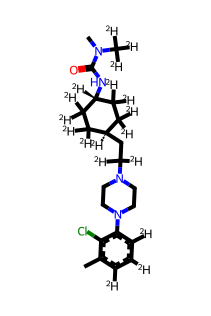 [2H]c1c([2H])c(C)c(Cl)c(N2CCN(C([2H])([2H])C[C@]3([2H])C([2H])([2H])C([2H])([2H])[C@@]([2H])(NC(=O)N(C)C([2H])([2H])[2H])C([2H])([2H])C3([2H])[2H])CC2)c1[2H]